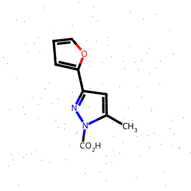 Cc1cc(-c2ccco2)nn1C(=O)O